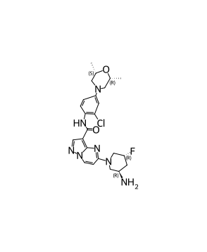 C[C@@H]1CN(c2ccc(NC(=O)c3cnn4ccc(N5C[C@H](N)C[C@@H](F)C5)nc34)c(Cl)c2)C[C@H](C)O1